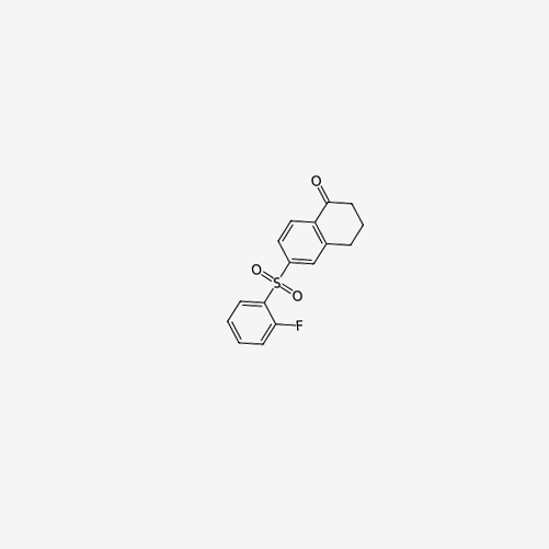 O=C1CCCc2cc(S(=O)(=O)c3ccccc3F)ccc21